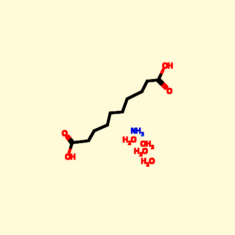 N.O.O.O.O.O=C(O)CCCCCCCCC(=O)O